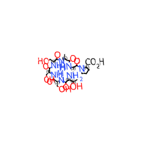 C[C@H](NC(=O)[C@H](CO)NC(=O)[C@H](CO)NC(=O)[C@H](CO)NC(=O)[C@@H](N)[C@@H](C)O)C(=O)N[C@@H](C)C(=O)N1CCC[C@H]1C(=O)O